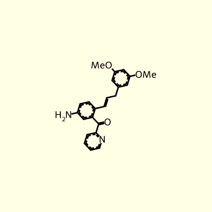 COc1cc(C/C=C/c2ccc(N)cc2C(=O)c2ccccn2)cc(OC)c1